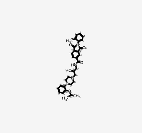 Cc1ccccc1N1C(=O)c2ccc(C(=O)NCC(O)CN3CCN(c4ccccc4OC(C)C)CC3)cc2C1=O